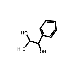 C[C@@H](O)C(O)c1ccccc1